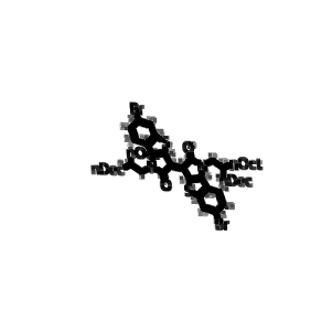 CCCCCCCCCCC(CCCCCCCC)CN1C(=O)/C(=C2/C(=O)N(CC(CCCCCCCC)CCCCCCCCCC)c3c2sc2cc(Br)ccc32)c2sc3cc(Br)ccc3c21